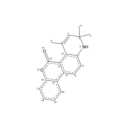 CC1=CC(C)(C)Nc2ccc3c(c21)c(=O)oc1ccccc13